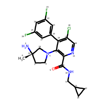 C[C@]1(N)CCN(c2c(C(=O)NCC3CC3)ncc(Cl)c2-c2cc(F)cc(F)c2)C1